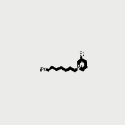 CCc1ccc[n+](CCCCCCCC(C)C)c1